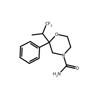 CC(C(F)(F)F)C1(c2ccccc2)CN(C(N)=O)CCO1